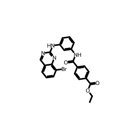 CCOC(=O)c1ccc(C(=O)Nc2cccc(Nc3ncc4cccc(Br)c4n3)c2)cc1